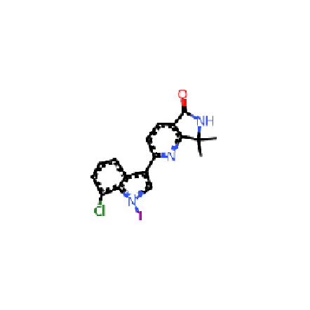 CC1(C)NC(=O)c2ccc(-c3cn(I)c4c(Cl)cccc34)nc21